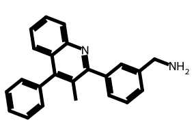 Cc1c(-c2cccc(CN)c2)nc2ccccc2c1-c1ccccc1